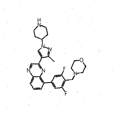 Cc1nn(C2CCNCC2)cc1-c1cnc2cccc(-c3cc(F)c(CN4CCOCC4)c(F)c3)c2n1